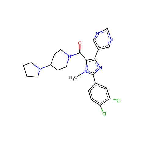 Cn1c(-c2ccc(Cl)c(Cl)c2)nc(-c2cncnc2)c1C(=O)N1CCC(N2CCCC2)CC1